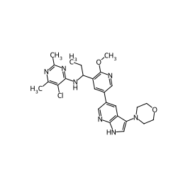 CCC(Nc1nc(C)nc(C)c1Cl)c1cc(-c2cnc3[nH]cc(N4CCOCC4)c3c2)cnc1OC